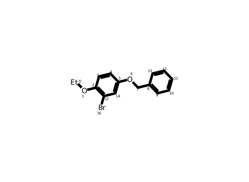 CCOc1ccc(OCc2ccccc2)cc1Br